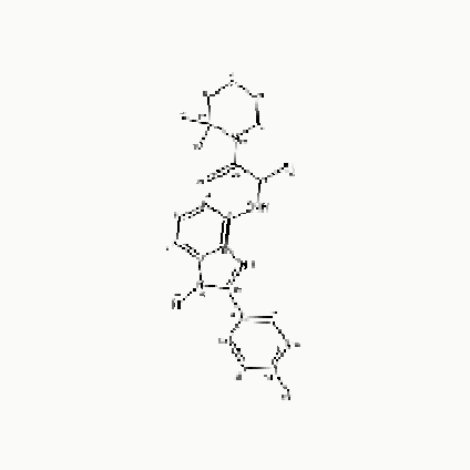 CCC(Nc1ncnc2c1nc(-c1cnc(C)nc1)n2CC)C(=O)N1CCOCC1(C)C